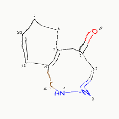 O=C1C=NNSC2=C1CCC=C2